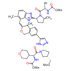 C=C1/C(=C\c2c(C)ccc3nc([C@@H]4CC[C@H](C)N4C(=O)C(NC(=O)OC)C(C)C)[nH]c23)OCc2cc(-c3cnc([C@@H]4C[C@H](COC)CN4C(=O)[C@@H](NC(=O)OC)C4CCOCC4)[nH]3)ccc21